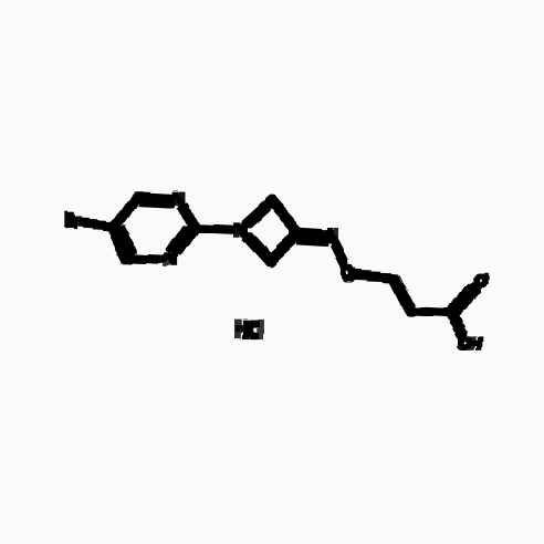 Cl.O=C(O)CCON=C1CN(c2ncc(Br)cn2)C1